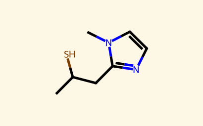 CC(S)Cc1nccn1C